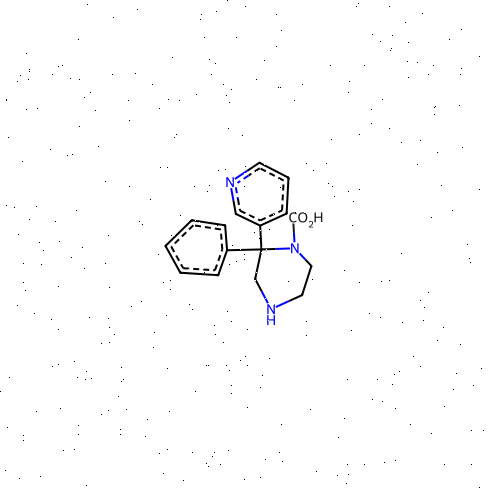 O=C(O)N1CCNCC1(c1ccccc1)c1cccnc1